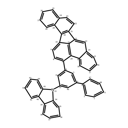 c1ccc(-c2cc(-c3ccc4c5c(cc6ccccc6c35)-c3ccc5ccccc5c3-4)cc(-n3c4ccccc4c4ccccc43)c2)cc1